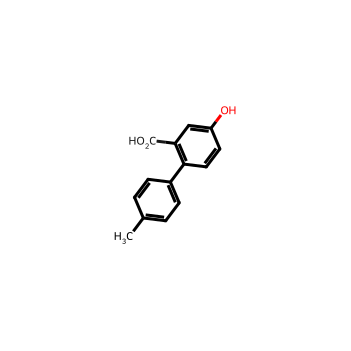 Cc1ccc(-c2ccc(O)cc2C(=O)O)cc1